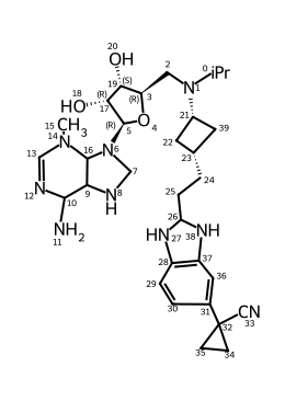 CC(C)N(C[C@H]1O[C@@H](N2CNC3C(N)N=CN(C)C32)[C@H](O)[C@@H]1O)[C@H]1C[C@@H](CCC2Nc3ccc(C4(C#N)CC4)cc3N2)C1